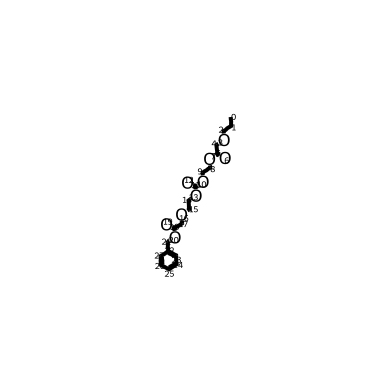 CCCOCC(=O)OCCOC(=O)OCCOCC(=O)OCc1ccccc1